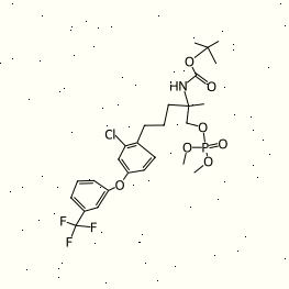 COP(=O)(OC)OCC(C)(CCCc1ccc(Oc2cccc(C(F)(F)F)c2)cc1Cl)NC(=O)OC(C)(C)C